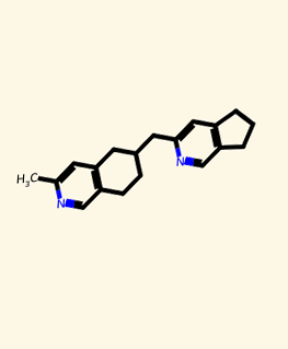 Cc1cc2c(cn1)CCC(Cc1cc3c(cn1)CCC3)C2